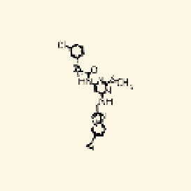 CSc1nc(NCc2cn3cc(C4CC4)ccc3n2)cc(NC(=O)[C@H]2C[C@@H]2c2cccc(Cl)c2)n1